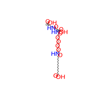 C[C@@H](CCCCNC(=O)CC[C@H](NC(=O)CCOCCOCCOCCOCCNC(=O)CCCCCCCCCCCCCCC(=O)O)C(=O)O)C(=O)O